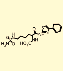 NS(=O)(=O)NCCCCC(NC(=O)O)C(=O)Nc1nc(-c2ccccc2)cs1